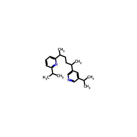 CC(C)c1cncc(C(C)CCC(C)c2cccc(C(C)C)n2)c1